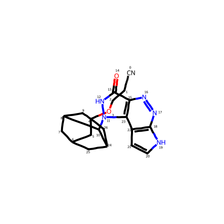 N#CCCOC12CC3CC(C1)C(n1[nH]c(=O)c4nnc5[nH]ccc5c41)C(C3)C2